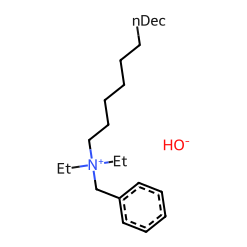 CCCCCCCCCCCCCCCC[N+](CC)(CC)Cc1ccccc1.[OH-]